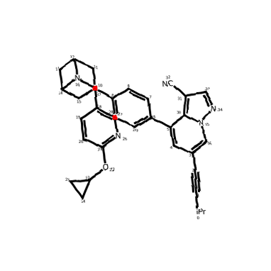 CC(C)C#Cc1cc(-c2ccc(N3CC4CC(C3)N4Cc3ccc(OC4CC4)nc3)nc2)c2c(C#N)cnn2c1